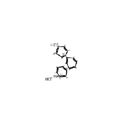 Cl.Cl.N.c1ccccc1.c1ccccc1.c1ccccc1